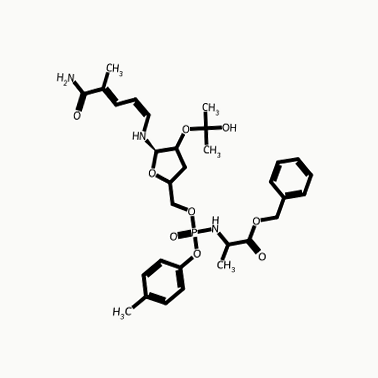 C/C(=C\C=C/N[C@@H]1OC(COP(=O)(NC(C)C(=O)OCc2ccccc2)Oc2ccc(C)cc2)CC1OC(C)(C)O)C(N)=O